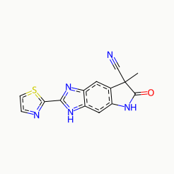 CC1(C#N)C(=O)Nc2cc3[nH]c(-c4nccs4)nc3cc21